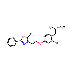 CCc1cc(OCCc2nc(-c3ccccc3)oc2C)ccc1C[C@H](C)C(=O)O